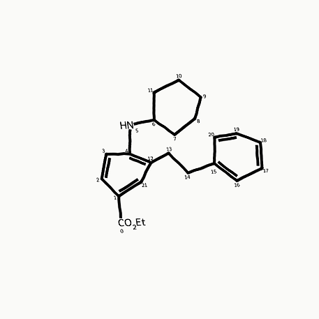 CCOC(=O)c1ccc(NC2CCCCC2)c(CCc2ccccc2)c1